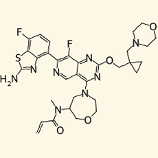 C=CC(=O)N(C)C1COCCN(c2nc(OCC3(CN4CCOCC4)CC3)nc3c(F)c(-c4ccc(F)c5sc(N)nc45)ncc23)C1